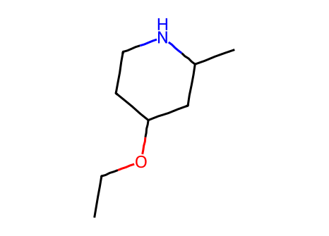 CCOC1CCNC(C)C1